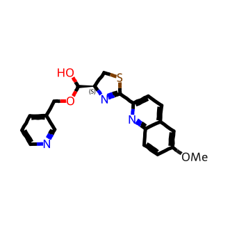 COc1ccc2nc(C3=N[C@@H](C(O)OCc4cccnc4)CS3)ccc2c1